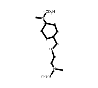 CCCCCN(C)CCSCC1CCC(N(C)C(=O)O)CC1